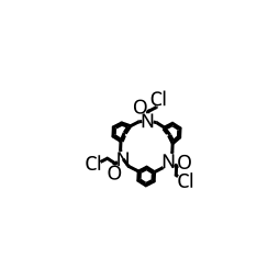 O=C(CCl)N1Cc2cccc(c2)CN(C(=O)CCl)Cc2cccc(c2)CN(C(=O)CCl)Cc2cccc(c2)C1